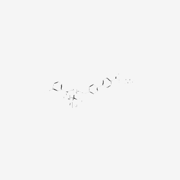 COC(=O)c1ccc(-c2ccc(CCN(C[C@H](O)c3cccc(Cl)c3)C(=O)OC(C)(C)C)cc2)cc1